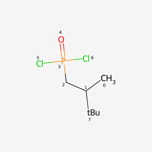 CC(CP(=O)(Cl)Cl)C(C)(C)C